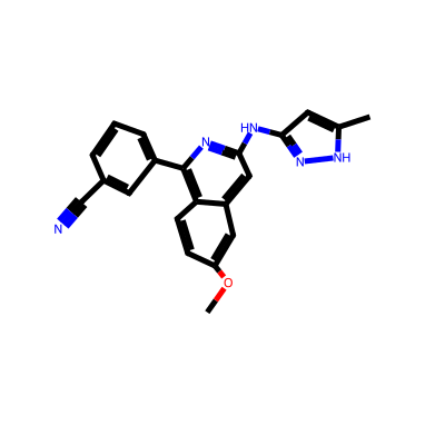 COc1ccc2c(-c3cccc(C#N)c3)nc(Nc3cc(C)[nH]n3)cc2c1